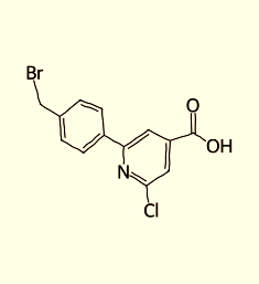 O=C(O)c1cc(Cl)nc(-c2ccc(CBr)cc2)c1